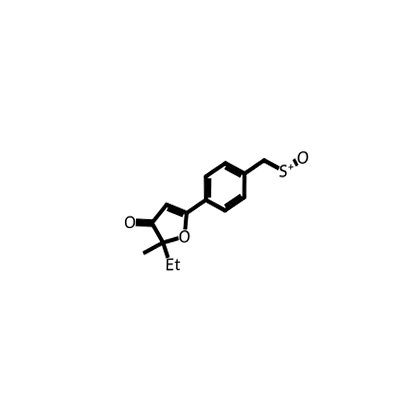 CCC1(C)OC(c2ccc(C[S+]=O)cc2)=CC1=O